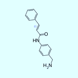 NCc1ccc(NC(=O)/C=C/c2ccccc2)cc1